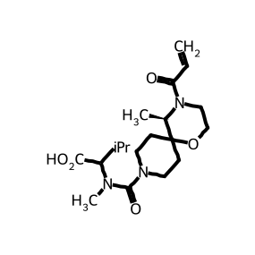 C=CC(=O)N1CCOC2(CCN(C(=O)N(C)C(C(=O)O)C(C)C)CC2)[C@H]1C